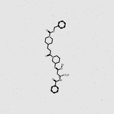 CCOC(C[C@H](NC(=O)c1ccccc1)C(=O)O)=NC1CCCN(C(=O)CCC2CCN(C(=O)OCc3ccccc3)CC2)C1